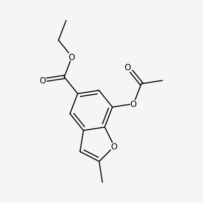 CCOC(=O)c1cc(OC(C)=O)c2oc(C)cc2c1